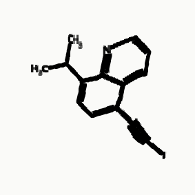 CC(C)c1ccc(C#CI)c2cccnc12